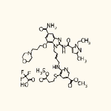 CCn1nc(C)cc1C(=O)Nc1nc2cc(C(N)=O)cc(OCCCN3CCOCC3)c2n1C/C=C/CNc1ncc(C(=O)OC)cc1SCCC(=O)OC.O=C(O)C(F)(F)F